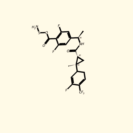 C[C@@H](NC(=O)[C@@H]1C[C@@]1(C)C1C=C(F)C(C(F)(F)F)=CC1)c1cc(F)c(C(=O)OSN)c(F)c1